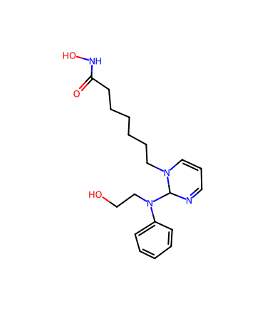 O=C(CCCCCCN1C=CC=NC1N(CCO)c1ccccc1)NO